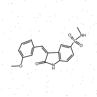 CNS(=O)(=O)c1ccc2c(c1)C(=Cc1cccc(OC)c1)C(=O)N2